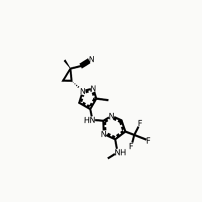 CNc1nc(Nc2cn([C@@H]3C[C@]3(C)C#N)nc2C)ncc1C(F)(F)F